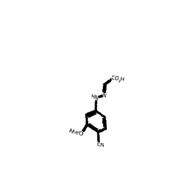 COc1cc(NN=CC(=O)O)ccc1C#N